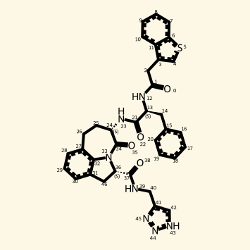 O=C(Cc1csc2ccccc12)N[C@@H](Cc1ccccc1)C(=O)N[C@H]1CCc2cccc3c2N(C1=O)[C@H](C(=O)NCc1c[nH]nn1)C3